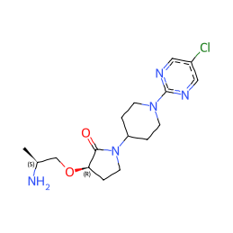 C[C@H](N)CO[C@@H]1CCN(C2CCN(c3ncc(Cl)cn3)CC2)C1=O